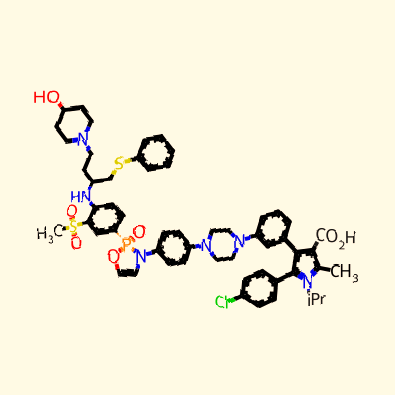 Cc1c(C(=O)O)c(-c2cccc(N3CCN(c4ccc(N5C=CO[P@]5(=O)c5ccc(NC(CCN6CCC(O)CC6)CSc6ccccc6)c(S(C)(=O)=O)c5)cc4)CC3)c2)c(-c2ccc(Cl)cc2)n1C(C)C